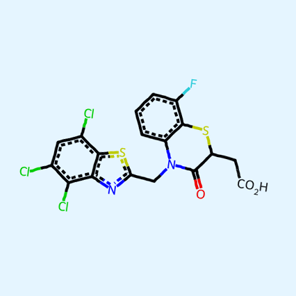 O=C(O)CC1Sc2c(F)cccc2N(Cc2nc3c(Cl)c(Cl)cc(Cl)c3s2)C1=O